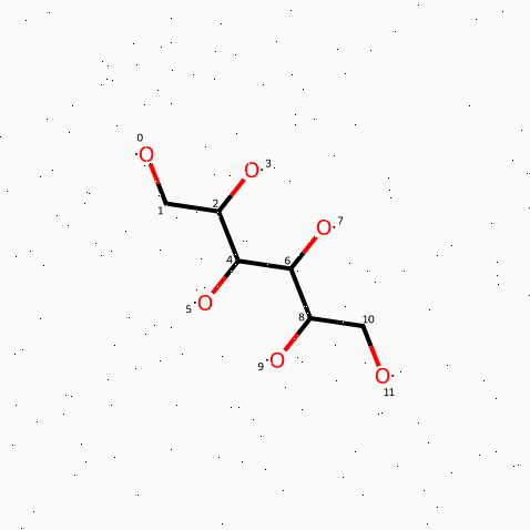 [O]CC([O])C([O])C([O])C([O])C[O]